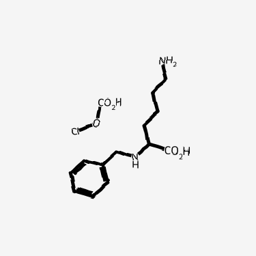 NCCCCC(NCc1ccccc1)C(=O)O.O=C(O)OCl